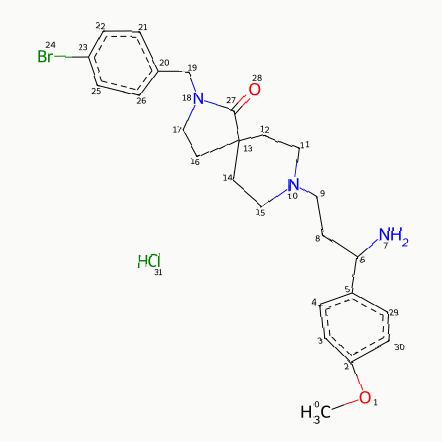 COc1ccc(C(N)CCN2CCC3(CC2)CCN(Cc2ccc(Br)cc2)C3=O)cc1.Cl